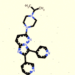 CC(C)N1CCN(c2ccc3nc(-c4cccnc4)c(-c4ccncc4)n3n2)CC1